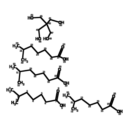 CC(C)CCCCC(=O)O.CC(C)CCCCC(=O)O.CC(C)CCCCC(=O)O.CC(C)CCCCC(=O)O.OCC(CO)(CO)CO